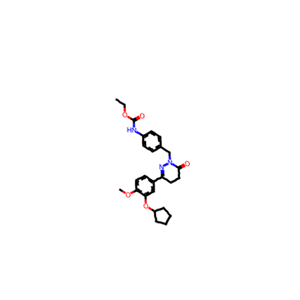 CCOC(=O)Nc1ccc(CN2N=C(c3ccc(OC)c(OC4CCCC4)c3)CCC2=O)cc1